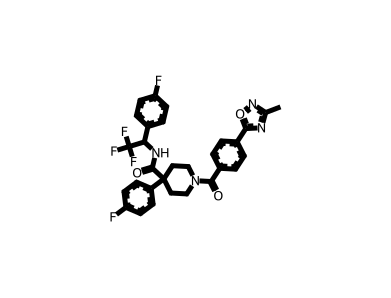 Cc1noc(-c2ccc(C(=O)N3CCC(C(=O)NC(c4ccc(F)cc4)C(F)(F)F)(c4ccc(F)cc4)CC3)cc2)n1